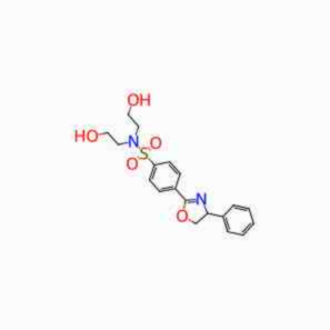 O=S(=O)(c1ccc(C2=NC(c3ccccc3)CO2)cc1)N(CCO)CCO